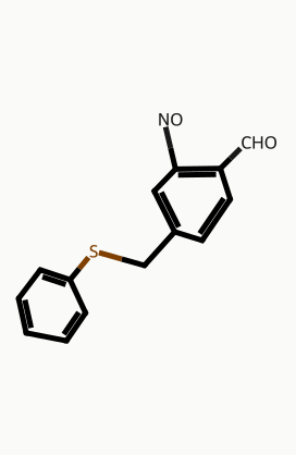 O=Cc1ccc(CSc2ccccc2)cc1N=O